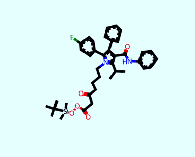 CC(C)c1c(C(=O)Nc2ccccc2)c(-c2ccccc2)c(-c2ccc(F)cc2)n1CCCCC(=O)CC(=O)OO[Si](C)(C)C(C)(C)C